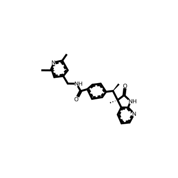 Cc1cc(CNC(=O)c2ccc([C@@H](C)[C@@]3(C)C(=O)Nc4ncccc43)cc2)cc(C)n1